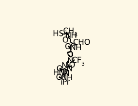 CC(C)C(=O)Nc1nc2ncc(CN(C(=O)C(F)(F)F)c3ccc(C(=O)N[C@H](C=O)CCC(=O)N[C@@H](C)CS)cc3)nc2c(=O)[nH]1